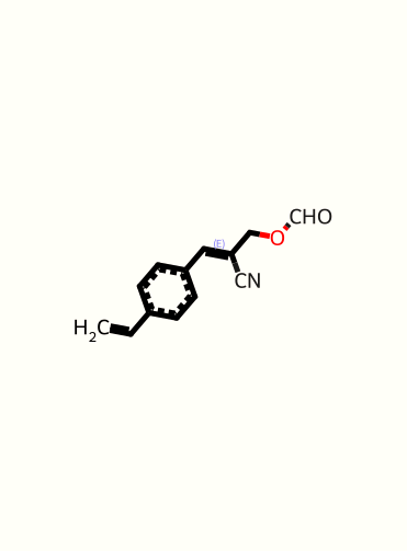 C=Cc1ccc(/C=C(\C#N)COC=O)cc1